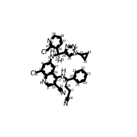 [2H][C@@](Nc1cc(Cl)c2ncc(C#N)c(N[C@H](CCC#N)c3ccccc3)c2c1)(c1cn(C2CC2)nn1)c1cccnc1Cl